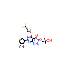 CC(C)(O)CONC(=O)c1c(N)nc(-c2cccc(C#N)c2)nc1OC1CC(C(F)F)C1